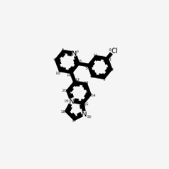 Clc1cccc(-c2ncccc2-c2ccc3nccn3c2)c1